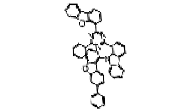 c1ccc(-c2ccc3c(c2)oc2cccc(-n4c5ccccc5c5cccc(-c6nc(-c7ccccc7)nc(-c7cccc8c7oc7ccccc78)n6)c54)c23)cc1